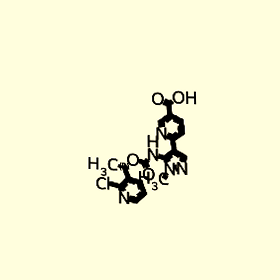 C[C@@H](OC(=O)Nc1c(-c2ccc(C(=O)O)cn2)cnn1C)c1cccnc1Cl